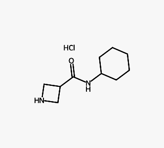 Cl.O=C(NC1CCCCC1)C1CNC1